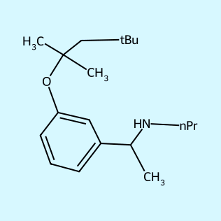 CCCNC(C)c1cccc(OC(C)(C)CC(C)(C)C)c1